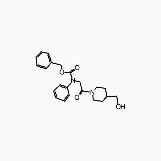 O=C(CN(C(=O)OCc1ccccc1)c1ccccc1)N1CCC(CO)CC1